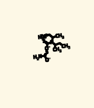 CCC(C)N(C([O-])=S)C(C)CC.NC([O-])=S.[Zn+2]